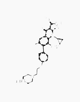 COc1c(-c2ccc(OCCN3CCNCC3)cc2)c(F)cc2c(=O)c3c(=O)[nH]sc3n(C3CC3)c12